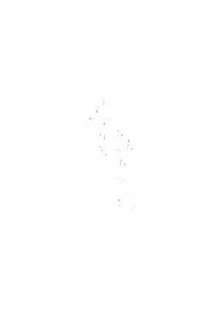 OC[C@H]1O[C@@H](n2cnc3c(N4CC=C(c5ccc(F)cc5)CC4)ncnc32)[C@H](O)[C@@H]1O